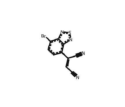 N#CC=C(C#N)c1ccc(Br)c2nsnc12